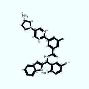 Cc1cc(C(=O)NC(c2cc3ccccc3[nH]2)c2cc(F)ccc2O)cc(-c2ncc(N3CC[C@H](N)C3)cn2)c1